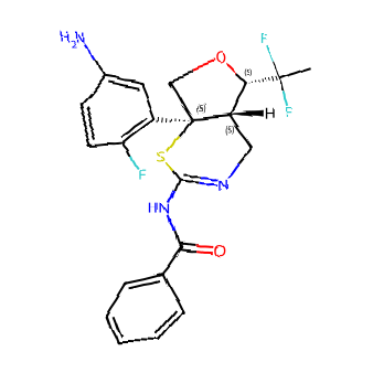 CC(F)(F)[C@H]1OC[C@]2(c3cc(N)ccc3F)SC(NC(=O)c3ccccc3)=NC[C@@H]12